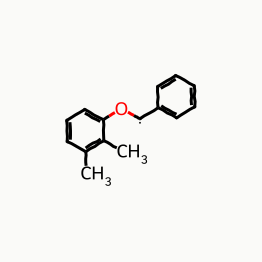 Cc1cccc(O[CH]c2ccccc2)c1C